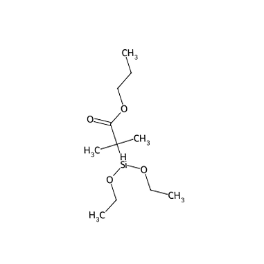 CCCOC(=O)C(C)(C)[SiH](OCC)OCC